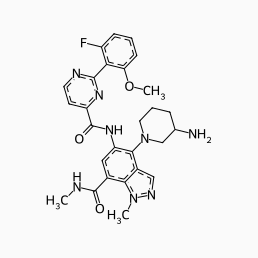 CNC(=O)c1cc(NC(=O)c2ccnc(-c3c(F)cccc3OC)n2)c(N2CCCC(N)C2)c2cnn(C)c12